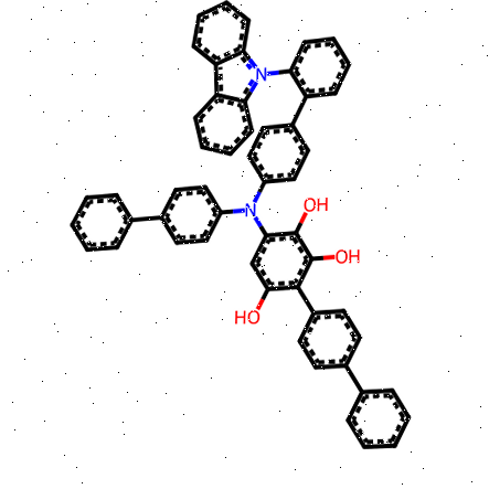 Oc1cc(N(c2ccc(-c3ccccc3)cc2)c2ccc(-c3ccccc3-n3c4ccccc4c4ccccc43)cc2)c(O)c(O)c1-c1ccc(-c2ccccc2)cc1